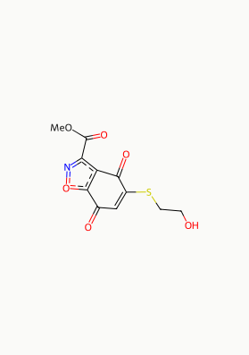 COC(=O)c1noc2c1C(=O)C(SCCO)=CC2=O